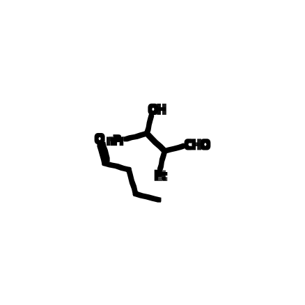 CCCC(O)C(C=O)CC.CCCC=O